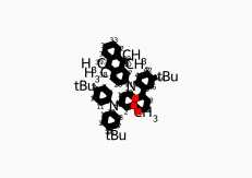 Cc1cc(N(c2ccc(C(C)(C)C)cc2)c2ccc(C(C)(C)C)cc2)cc(N(c2ccc3c(c2)C(C)(C)c2ccccc2C3(C)C)c2ccc(C(C)(C)C)cc2-c2ccccc2)c1